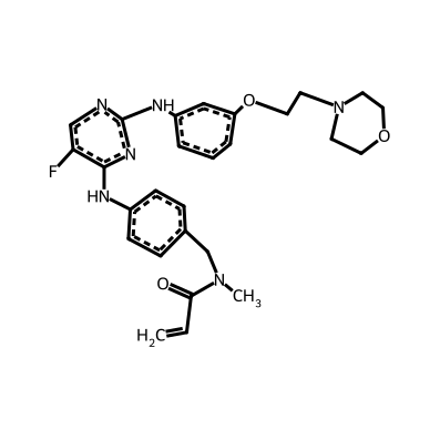 C=CC(=O)N(C)Cc1ccc(Nc2nc(Nc3cccc(OCCN4CCOCC4)c3)ncc2F)cc1